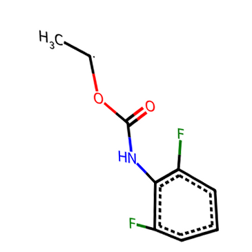 C[CH]OC(=O)Nc1c(F)cccc1F